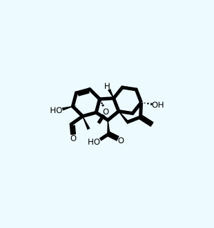 C=C1C[C@]23C[C@@]1(O)CC[C@H]2[C@]1(OC)C=C[C@H](O)[C@@](C)(C=O)C1[C@@H]3C(=O)O